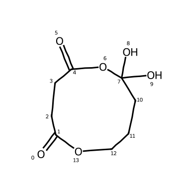 O=C1CCC(=O)OC(O)(O)CCCO1